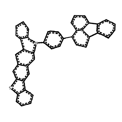 c1ccc2c(c1)-c1cccc3c(-c4ccc(-n5c6ccccc6c6cc7cc8sc9ccccc9c8cc7cc65)cc4)ccc-2c13